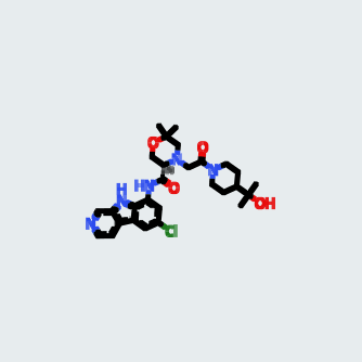 CC1(C)CN(CC(=O)N2CCC(C(C)(C)O)CC2)[C@H](C(=O)Nc2cc(Cl)cc3c2[nH]c2cnccc23)CO1